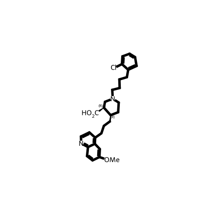 COc1ccc2nccc(CCC[C@@H]3CCN(CCCCc4ccccc4Cl)C[C@@H]3C(=O)O)c2c1